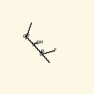 CCCCCCCCCOC(=O)C(C)CCCCCCN(CCO)CCCCCCCC(=O)OC(CCCCCCCC)CCCCCCCCF